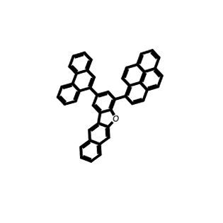 c1ccc2cc3c(cc2c1)oc1c(-c2ccc4ccc5cccc6ccc2c4c56)cc(-c2cc4ccccc4c4ccccc24)cc13